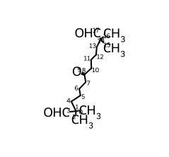 CC(C)(C=O)CCCCC(=O)CCCCC(C)(C)C=O